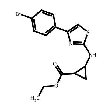 CCOC(=O)C1CC1Nc1nc(-c2ccc(Br)cc2)cs1